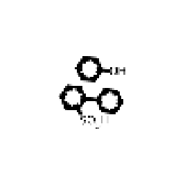 O=S(=O)(O)c1ccccc1-c1ccccc1.Oc1ccccc1